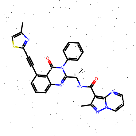 Cc1csc(C#Cc2cccc3nc([C@H](C)NC(=O)c4c(C)nn5cccnc45)n(-c4ccccc4)c(=O)c23)n1